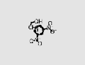 CCO.O=[N+]([O-])c1cccc([N+](=O)[O-])c1